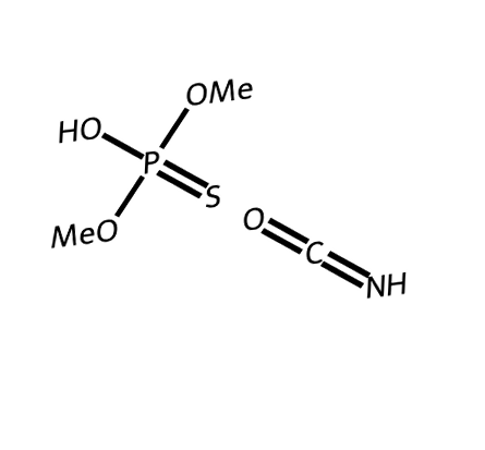 COP(O)(=S)OC.N=C=O